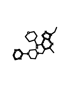 CCn1ncc2c(NC3CCOCC3)c(CN3CCN(c4cnccn4)CC3)c(C)nc21